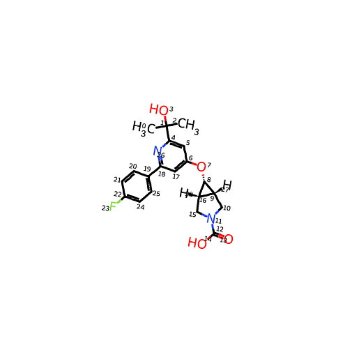 CC(C)(O)c1cc(O[C@@H]2[C@@H]3CN(C(=O)O)C[C@@H]32)cc(-c2ccc(F)cc2)n1